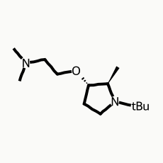 C[C@@H]1[C@@H](OCCN(C)C)CCN1C(C)(C)C